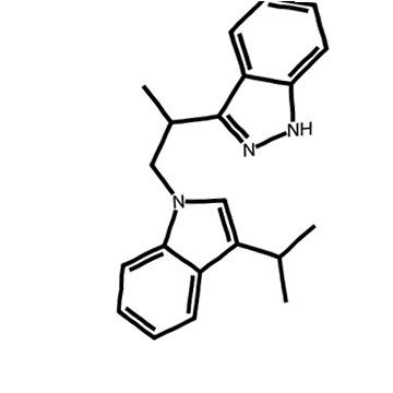 CC(C)c1cn(CC(C)c2n[nH]c3ccccc23)c2ccccc12